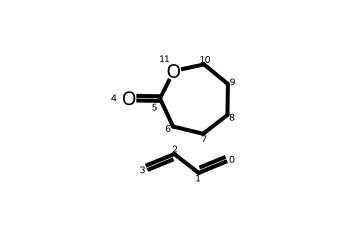 C=CC=C.O=C1CCCCCO1